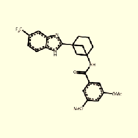 COc1cc(OC)cc(C(=O)NC23CCCC(c4nc5cc(C(F)(F)F)ccc5[nH]4)(C2)C3)c1